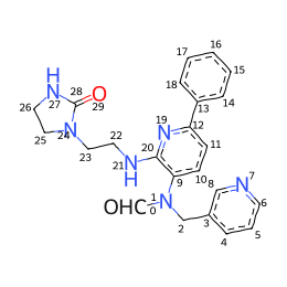 O=CN(Cc1cccnc1)c1ccc(-c2ccccc2)nc1NCCN1CCNC1=O